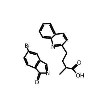 CC(CCc1ccc2ccccc2n1)C(=O)O.O=C1N=Cc2cc(Br)ccc21